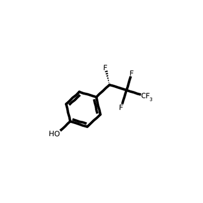 Oc1ccc([C@H](F)C(F)(F)C(F)(F)F)cc1